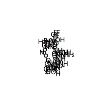 CC[C@H](C)[C@H](NC(=O)[C@@H](CCCNC(=N)N)NC(=O)[C@H](CC(C)C)NC(=O)[C@@H](NC(=O)[C@H](CNC(=O)OC(C)(C)C)NC(=O)OCc1ccc(-c2ccccc2N(C)C)cc1)[C@H](O)C(C)C)C(=O)N[C@H](C(=O)NCC(=O)N[C@H](C(=O)N[C@@H](COC(=O)C(F)(F)F)C(=O)O)[C@H](OC(=O)C(F)(F)F)C(N)=O)[C@H](C)O